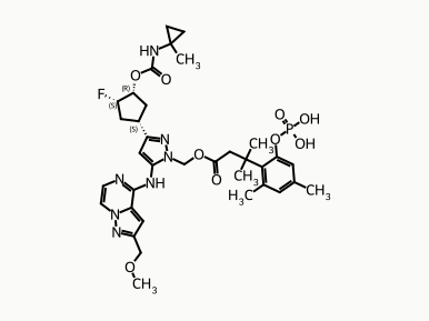 COCc1cc2c(Nc3cc([C@@H]4C[C@H](F)[C@H](OC(=O)NC5(C)CC5)C4)nn3COC(=O)CC(C)(C)c3c(C)cc(C)cc3OP(=O)(O)O)nccn2n1